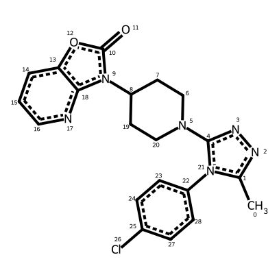 Cc1nnc(N2CCC(n3c(=O)oc4cccnc43)CC2)n1-c1ccc(Cl)cc1